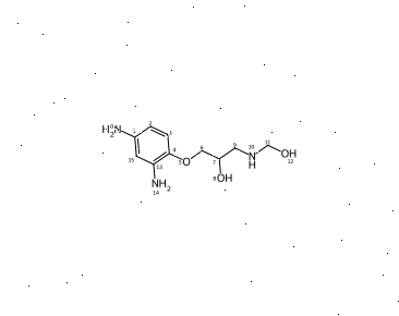 Nc1ccc(OCC(O)CNCO)c(N)c1